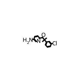 CC(C)(C(=O)c1ccc(N)cn1)c1cccc(Cl)c1